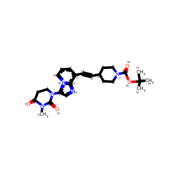 CN1C(=O)CCN(c2cnc3c(C#CC4CCN(C(=O)OC(C)(C)C)CC4)cccn23)C1=O